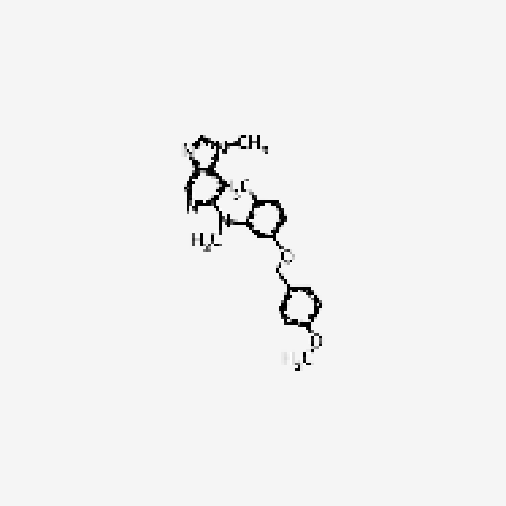 COc1ccc(COc2ccc(C)c(N(C)c3cc4c(cn3)ncn4C)c2)cc1